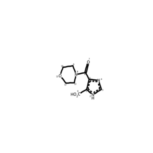 O=C(O)c1[nH]cnc1C(=O)N1CCOCC1